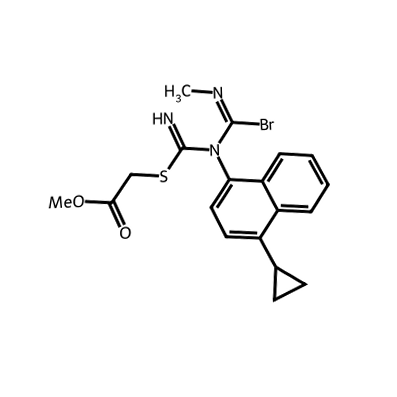 C/N=C(/Br)N(C(=N)SCC(=O)OC)c1ccc(C2CC2)c2ccccc12